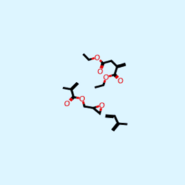 C=C(C)C(=O)OCC1CO1.C=C(CC(=O)OCC)C(=O)OCC.C=CC(=C)C